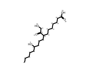 CCCCCC(O)CCCC(CCCCCCC(=O)O)C(=O)CO